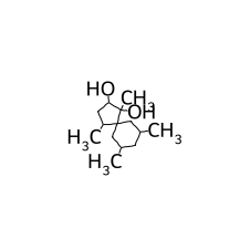 CC1CC(C)CC2(C1)C(C)CC(O)C2(C)O